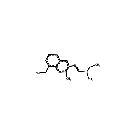 CCN(C)/C=N/c1cc2cccc(CO)c2nc1C